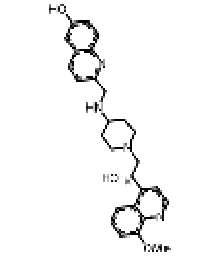 COc1cccc2c([C@H](O)CN3CCC(NCc4ccc5cc(O)ccc5n4)CC3)ccnc12